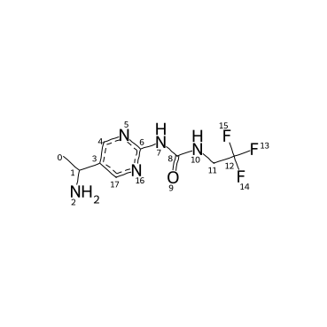 CC(N)c1cnc(NC(=O)NCC(F)(F)F)nc1